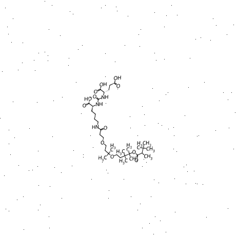 CC(C(=O)OC(C)(C)C(C)(C)CCOC(C)(C)CCOCCC(=O)NCCCC[C@H](NC(=O)N[C@@H](CCC(=O)O)C(=O)O)C(=O)O)C(C)(C)C